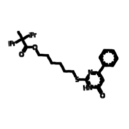 CC(C)C(C)(C(=O)OCCCCCCSc1nc(-c2ccccc2)cc(=O)[nH]1)C(C)C